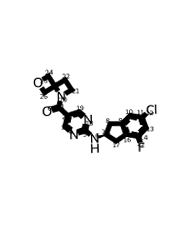 O=C(c1cnc(N[C@H]2Cc3cc(Cl)cc(F)c3C2)nc1)N1CCC12COC2